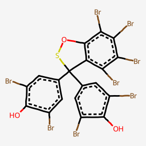 Oc1c(Br)cc(C2(c3cc(Br)c(O)c(Br)c3)SOc3c(Br)c(Br)c(Br)c(Br)c32)cc1Br